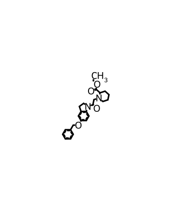 CCOC(=O)C1CCCCN1CC(=O)N1CCc2cc(OCc3ccccc3)ccc21